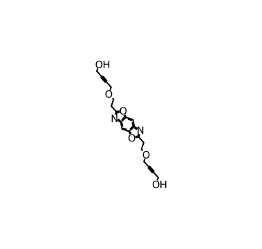 OCC#CCOCCc1nc2cc3oc(CCOCC#CCO)nc3cc2o1